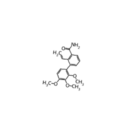 C=Cc1c(C(N)=O)cccc1-c1ccc(OC)c(OC)c1OC